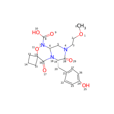 COCCN1CC2N(C(=O)O)OC3(CCC3)C(=O)N2[C@@H](Cc2ccc(O)cc2)C1=O